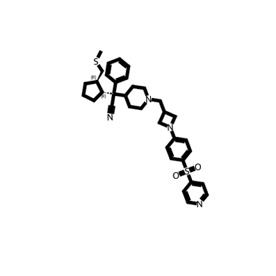 CSC[C@@H]1CCC[C@H]1C(C#N)(c1ccccc1)C1CCN(CC2CN(c3ccc(S(=O)(=O)c4ccncc4)cc3)C2)CC1